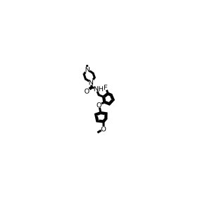 COc1ccc(Oc2cccc(F)c2CNC(=O)N2CCN(C)CC2)cc1